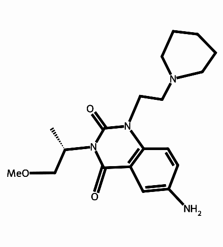 COC[C@H](C)n1c(=O)c2cc(N)ccc2n(CCN2CCCCC2)c1=O